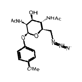 COc1ccc(O[C@@H]2O[C@H](CN=[N+]=[N-])[C@@H](NC(C)=O)[C@H](O)[C@@H]2NC(C)=O)cc1